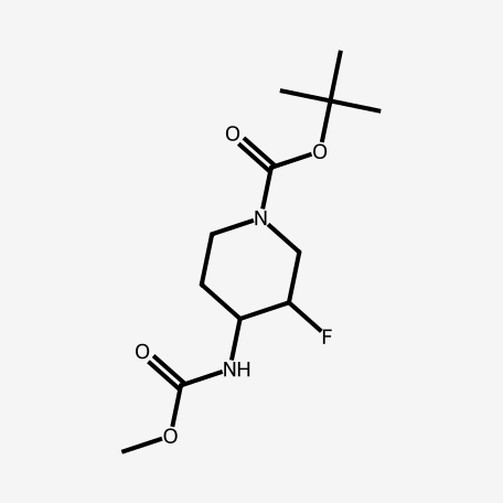 COC(=O)NC1CCN(C(=O)OC(C)(C)C)CC1F